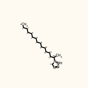 CCCCCCCCCCCCCCC(C)N1CN=NN1